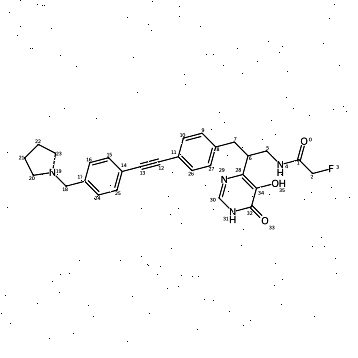 O=C(CF)NCC(Cc1ccc(C#Cc2ccc(CN3CCCC3)cc2)cc1)c1nc[nH]c(=O)c1O